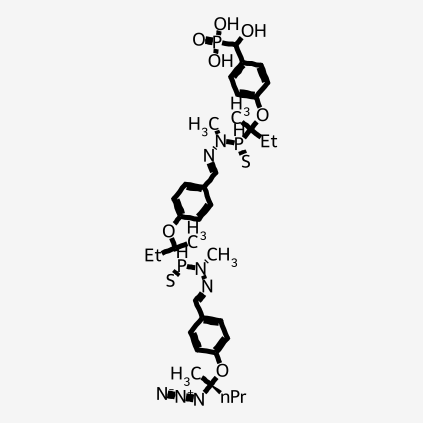 CCC[C@](C)(N=[N+]=[N-])Oc1ccc(/C=N/N(C)[PH](=S)C(C)(CC)Oc2ccc(/C=N/N(C)[PH](=S)C(C)(CC)Oc3ccc(C(O)P(=O)(O)O)cc3)cc2)cc1